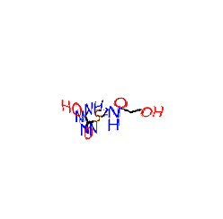 N/C(=N\O)c1nonc1SCCNC(=O)CCO